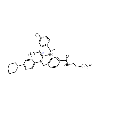 CC(N/C(=N/N)N(Cc1ccc(C(=O)NCCC(=O)O)cc1)c1ccc(C2CCCCC2)cc1)c1ccc(Cl)cc1